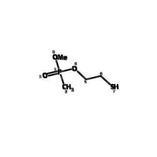 COP(C)(=O)OCCS